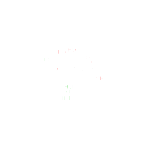 Cl.Cl.Cl.Cl.O=C(O)C1CCC1(C(=O)O)C(=O)O